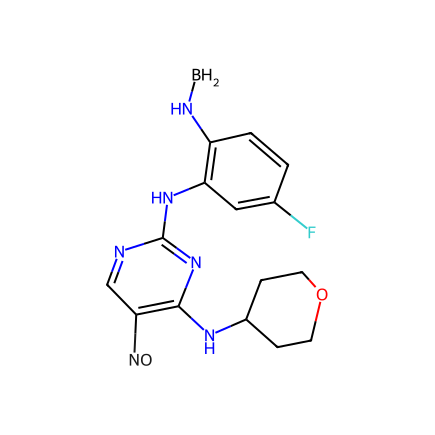 BNc1ccc(F)cc1Nc1ncc(N=O)c(NC2CCOCC2)n1